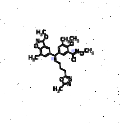 CO/N=C(\Cl)c1cc(/C(=C\CCCc2nnc(C)o2)c2cc(C)c3onc(OC)c3c2)cc(C)c1OC